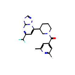 Cc1cc(C(=O)N2CCCC(C3=CC(C(F)F)=NC4NC=NN34)C2)cc(C(C)C)n1